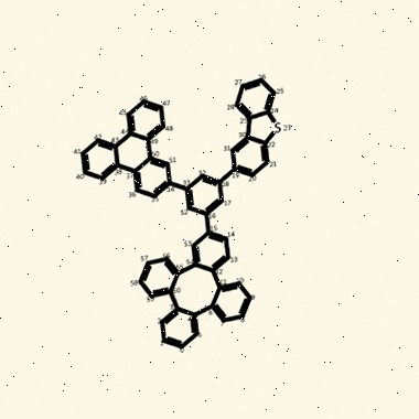 c1ccc2c(c1)-c1ccccc1-c1ccc(-c3cc(-c4ccc5sc6ccccc6c5c4)cc(-c4ccc5c6ccccc6c6ccccc6c5c4)c3)cc1-c1ccccc1-2